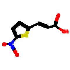 O=C(O)/C=C/c1ccc([N+](=O)[O-])s1